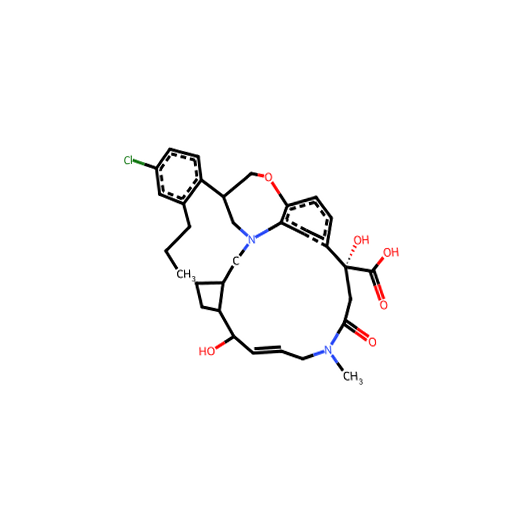 CCCc1cc(Cl)ccc1C1COc2ccc3cc2N(C1)CC1CCC1C(O)/C=C/CN(C)C(=O)C[C@]3(O)C(=O)O